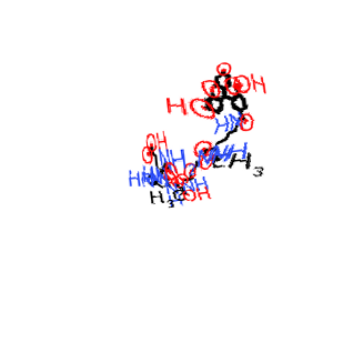 CC(=O)N[C@H](CCCCNC(=O)c1ccc(C(=O)O)c(-c2c3ccc(=O)cc-3oc3cc(O)ccc23)c1)C(=O)NCCOCC(=O)N[C@@H](C(=O)N[C@H](Cc1c[nH]cn1)C(=O)N[C@H](CCC(=O)O)C(N)=O)[C@H](C)O